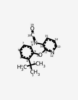 CC(C)(C)c1ccccc1Oc1ncccc1N=C=O